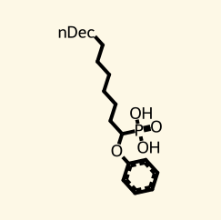 CCCCCCCCCCCCCCCCC(Oc1ccccc1)P(=O)(O)O